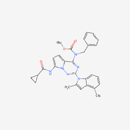 Cc1cc2c(C#N)cccc2n1-c1nc(N(Cc2ccccc2)C(=O)OC(C)(C)C)c2ccc(NC(=O)C3CC3)n2n1